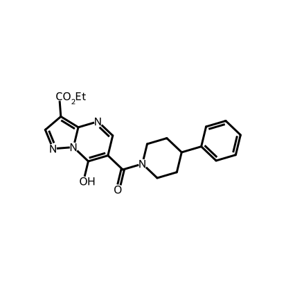 CCOC(=O)c1cnn2c(O)c(C(=O)N3CCC(c4ccccc4)CC3)cnc12